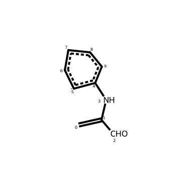 C=C(C=O)Nc1[c]cccc1